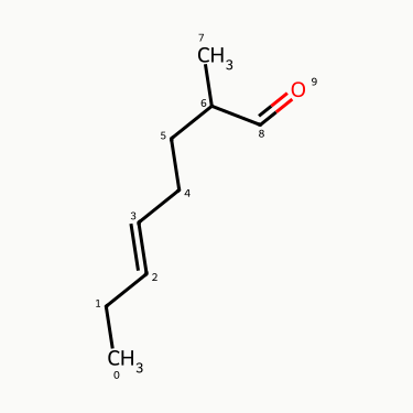 CCC=CCCC(C)C=O